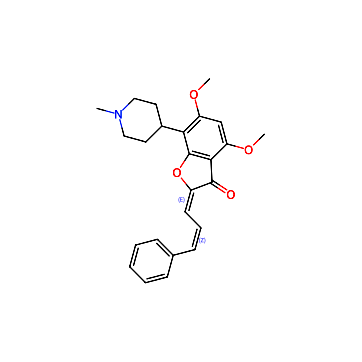 COc1cc(OC)c(C2CCN(C)CC2)c2c1C(=O)/C(=C\C=C/c1ccccc1)O2